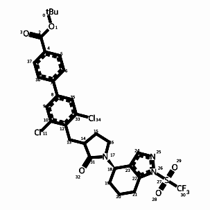 CC(C)(C)OC(=O)c1ccc(-c2cc(Cl)c(CC3CCN([C@@H]4CCCc5c4cnn5S(=O)(=O)C(F)(F)F)C3=O)c(Cl)c2)cc1